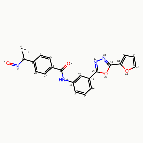 CC(N=O)c1ccc(C(=O)Nc2cccc(-c3nnc(-c4ccco4)o3)c2)cc1